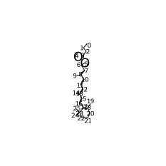 CCCC(=O)OC/C=C(C)/C=C/C=C(C)/C=C/C1=C(C)CCCC1(C)C